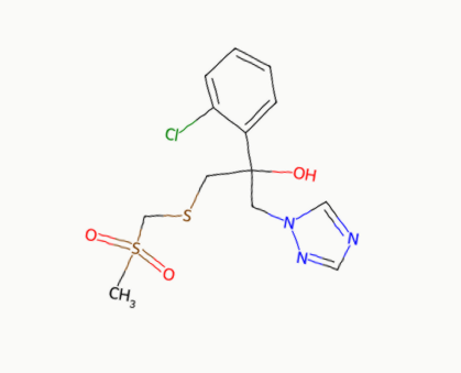 CS(=O)(=O)CSCC(O)(Cn1cncn1)c1ccccc1Cl